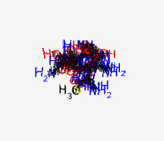 CSCC[C@H](NC=O)C(=O)N[C@@H](CCCNC(=N)N)C(=O)N[C@@H](Cc1ccccc1)C(=O)N[C@@H](CCCNC(=N)N)C(=O)N[C@@H](CC(=O)O)C(=O)N[C@@H](Cc1ccc(O)cc1)C(=O)N[C@@H](CCCCN)C(=O)N[C@@H](CC(=O)O)C(=O)N[C@@H](CC(=O)O)C(=O)N[C@@H](CC(=O)O)C(=O)N[C@@H](CC(=O)O)C(=O)N[C@@H](CCCCN)C(=O)O